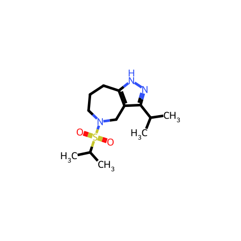 CC(C)c1n[nH]c2c1CN(S(=O)(=O)C(C)C)CCC2